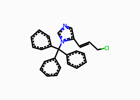 ClCC=Cc1cncn1C(c1ccccc1)(c1ccccc1)c1ccccc1